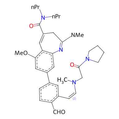 CCCN(CCC)C(=O)C1=Cc2c(cc(-c3ccc(C=O)c(/C=C\N(C)CC(=O)N4CCCC4)c3)cc2OC)N=C(NC)C1